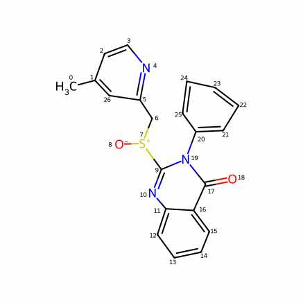 Cc1ccnc(C[S+]([O-])c2nc3ccccc3c(=O)n2-c2ccccc2)c1